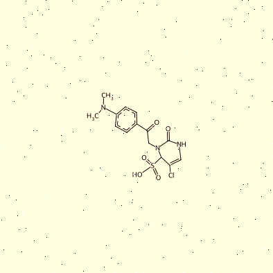 CN(C)c1ccc(C(=O)CN2C(=O)NC=C(Cl)C2S(=O)(=O)O)cc1